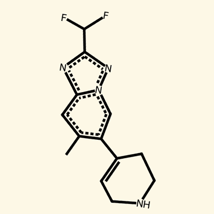 Cc1cc2nc(C(F)F)nn2cc1C1=CCNCC1